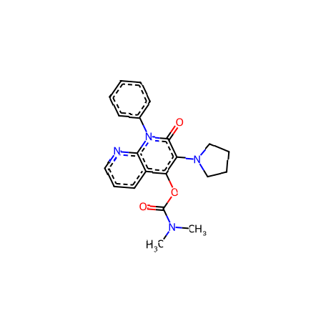 CN(C)C(=O)Oc1c(N2CCCC2)c(=O)n(-c2ccccc2)c2ncccc12